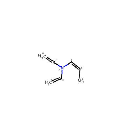 C=BN(C=C)/C=C\C